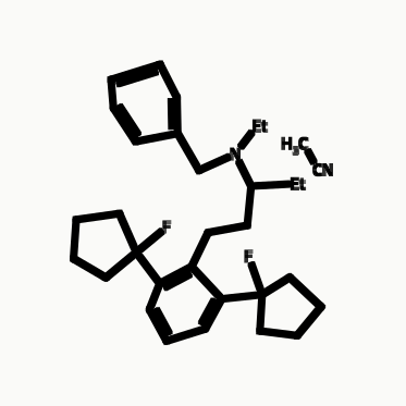 CC#N.CCC(CCc1c(C2(F)CCCC2)cccc1C1(F)CCCC1)N(CC)Cc1ccccc1